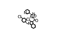 O=C(c1nc(-c2cccnc2)no1)c1c(Cl)n(Cc2ccc(Cl)cc2)c2ccccc12